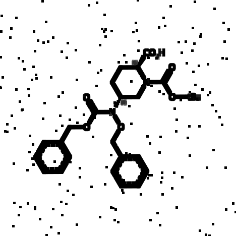 CC(C)(C)OC(=O)N1C[C@H](N(OCc2ccccc2)C(=O)OCc2ccccc2)CC[C@H]1C(=O)O